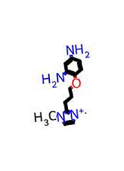 CN1C=C[N+]=C1CCCOc1ccc(N)cc1N